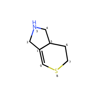 C1=C2CNCC2CCS1